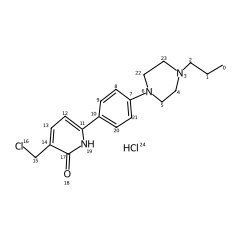 CCCN1CCN(c2ccc(-c3ccc(CCl)c(=O)[nH]3)cc2)CC1.Cl